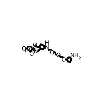 Nc1cccc(OCCOCCOCCNc2ccc3c(=O)n(C4CCC(=O)NC4=O)ncc3c2)c1